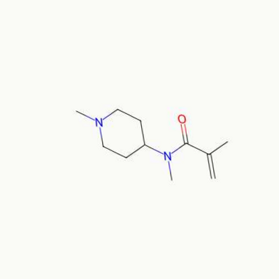 C=C(C)C(=O)N(C)C1CCN(C)CC1